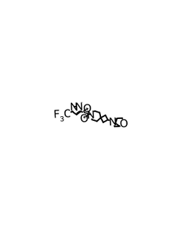 Cn1nc(C(F)(F)F)cc1S(=O)(=O)N1CCC2(CC1)CC(N1CC3CC1CO3)C2